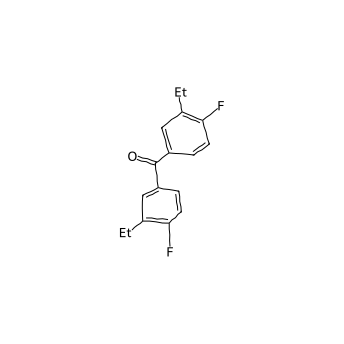 CCc1cc(C(=O)c2ccc(F)c(CC)c2)ccc1F